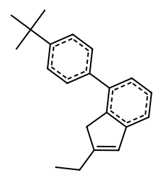 CCC1=Cc2cccc(-c3ccc(C(C)(C)C)cc3)c2C1